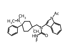 CC(=O)n1cc(N(C[C@]2(C)CC[C@@](c3ccccc3)(N(C)C)CC2)C(=O)NF)c2ccccc21